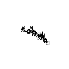 CC(=O)OCCC1CCN(c2ncc(NC(=O)c3cnn(-c4ccc(Cl)cc4)c3C)cc2C#N)CC1